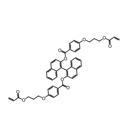 C=CC(=O)OCCCOc1ccc(C(=O)Oc2ccc3ccccc3c2-c2c(OC(=O)c3ccc(OCCCOC(=O)C=C)cc3)ccc3ccccc23)cc1